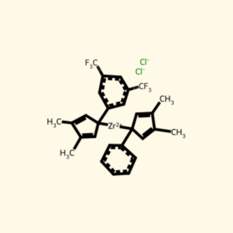 CC1=C[C]([Zr+2][C]2(c3cc(C(F)(F)F)cc(C(F)(F)F)c3)C=C(C)C(C)=C2)(c2ccccc2)C=C1C.[Cl-].[Cl-]